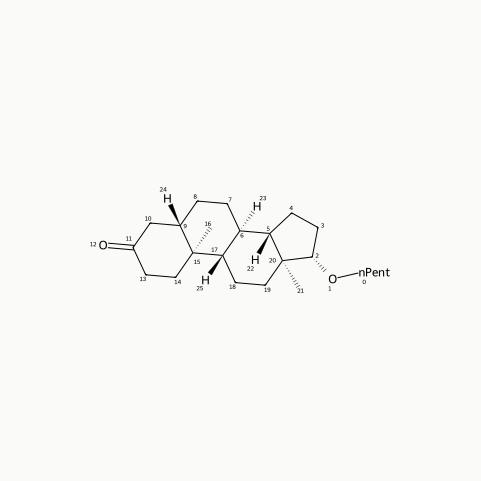 CCCCCO[C@H]1CC[C@H]2[C@@H]3CC[C@H]4CC(=O)CC[C@]4(C)[C@H]3CC[C@]12C